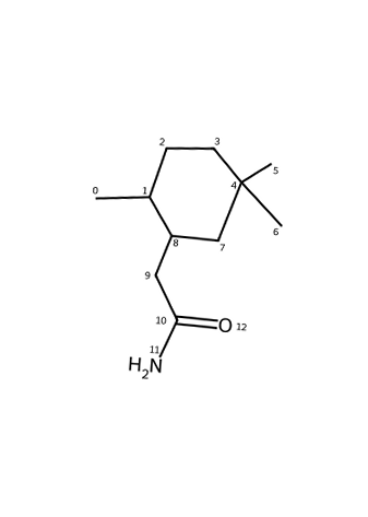 CC1CCC(C)(C)CC1CC(N)=O